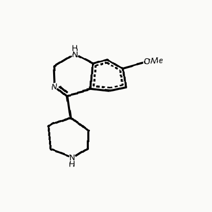 COc1ccc2c(c1)NCN=C2C1CCNCC1